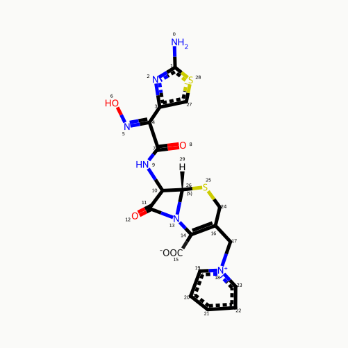 Nc1nc(C(=NO)C(=O)NC2C(=O)N3C(C(=O)[O-])=C(C[n+]4ccccc4)CS[C@@H]23)cs1